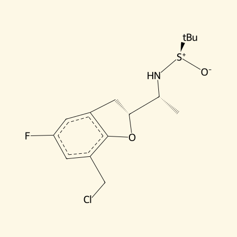 C[C@@H](N[S@+]([O-])C(C)(C)C)[C@H]1Cc2cc(F)cc(CCl)c2O1